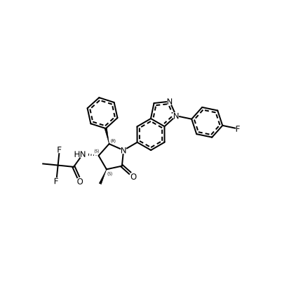 C[C@@H]1C(=O)N(c2ccc3c(cnn3-c3ccc(F)cc3)c2)[C@H](c2ccccc2)[C@H]1NC(=O)C(C)(F)F